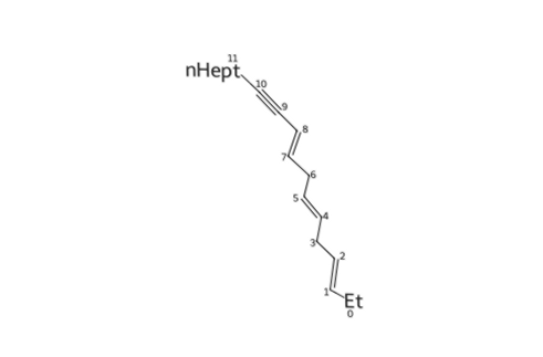 CCC=CCC=CCC=CC#CCCCCCCC